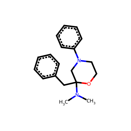 CN(C)C1(Cc2ccccc2)CN(c2ccccc2)CCO1